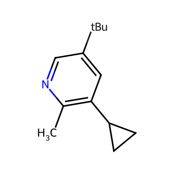 Cc1ncc(C(C)(C)C)cc1C1CC1